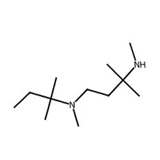 CCC(C)(C)N(C)CCC(C)(C)NC